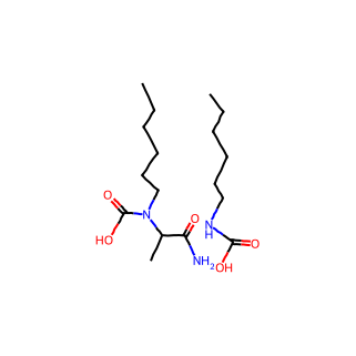 CCCCCCN(C(=O)O)C(C)C(N)=O.CCCCCCNC(=O)O